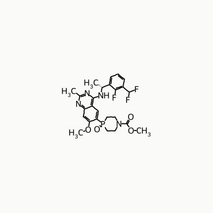 COC(=O)N1CCP(=O)(c2cc3c(N[C@H](C)c4cccc(C(F)F)c4F)nc(C)nc3cc2OC)CC1